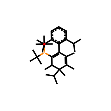 CC1=C(C)C(C)(C(C)C)C(C)C(P(C(C)(C)C)C(C)(C)C)=C1c1c(C(C)C)cccc1C(C)C